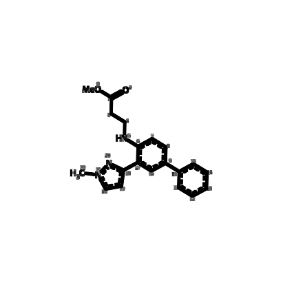 COC(=O)CCNc1ccc(-c2ccccc2)cc1-c1ccn(C)n1